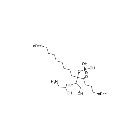 CCCCCCCCCCCCCCCCCCC(OP(=O)(O)O)(C(=O)CCCCCCCCCCCCC)C(O)CO.NCCO